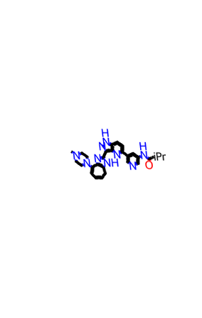 CC(C)C(=O)Nc1cncc(-c2ccc3[nH]nc(-c4nc5c([nH]4)CC=CC=C5N4CCN(C)CC4)c3n2)c1